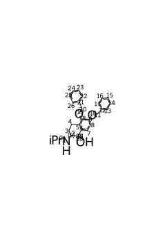 CC(C)N[C@H]1CCc2c(ccc(OCc3ccccc3)c2OCc2ccccc2)[C@H]1O